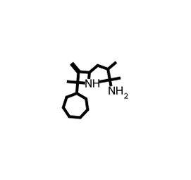 C=C1C(CC(C)C(C)(C)N)NC1(C)C1CCCCCC1